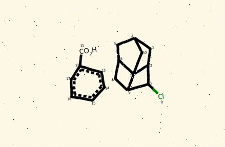 ClC1C2CC3CC(C2)CC1C3.O=C(O)c1ccccc1